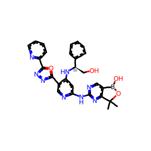 CC1(C)OB(O)c2cnc(Nc3cc(N[C@H](CO)c4ccccc4)c(-c4nnc(-c5ccccn5)o4)cn3)nc21